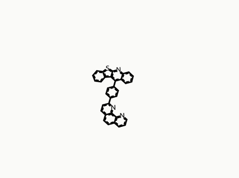 c1cnc2c(c1)ccc1ccc(-c3ccc(-c4c5ccccc5nc5sc6ccccc6c45)cc3)nc12